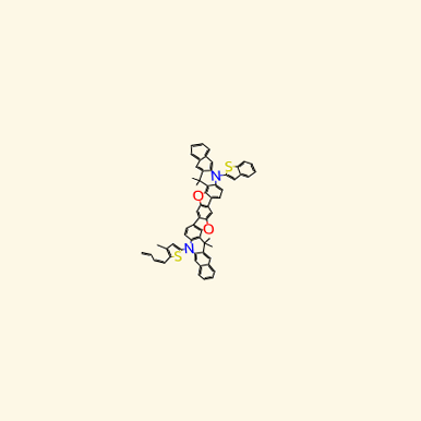 C=C/C=C\c1sc(N2c3cc4ccccc4cc3C(C)(C)c3c2ccc2c3oc3cc4c(cc32)oc2c3c(ccc24)N(c2cc4ccccc4s2)c2cc4ccccc4cc2C3(C)C)cc1C